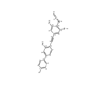 Cc1ccc(-c2ccc(C#Cc3cc(F)c(N=C=S)c(F)c3)c(F)c2)cc1